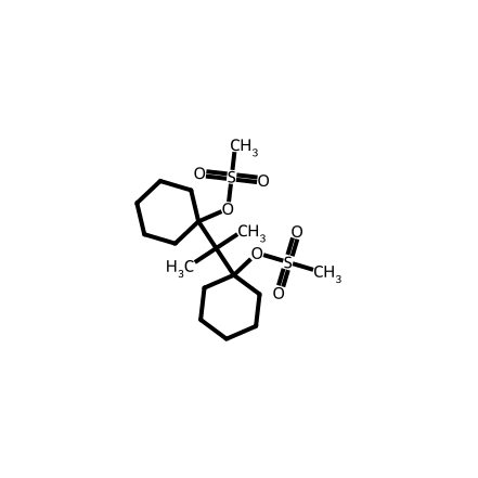 CC(C)(C1(OS(C)(=O)=O)CCCCC1)C1(OS(C)(=O)=O)CCCCC1